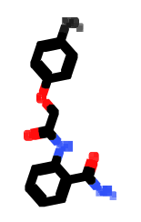 NC(=O)c1ccccc1NC(=O)COc1ccc([N+](=O)[O-])cc1